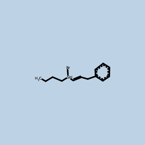 CCCC[SiH](Br)C=CCc1ccccc1